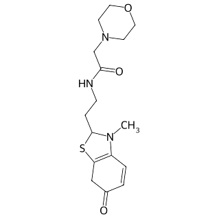 CN1C2=C(CC(=O)C=C2)SC1CCNC(=O)CN1CCOCC1